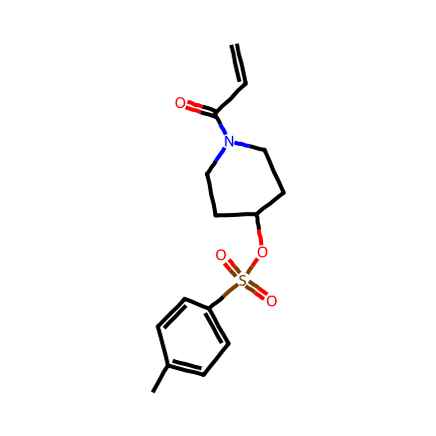 C=CC(=O)N1CCC(OS(=O)(=O)c2ccc(C)cc2)CC1